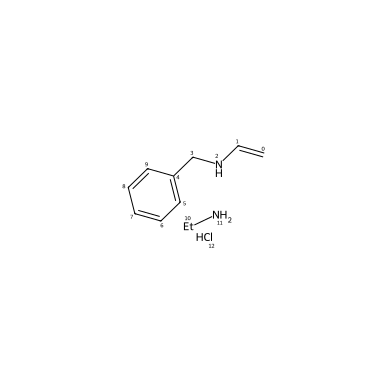 C=CNCc1ccccc1.CCN.Cl